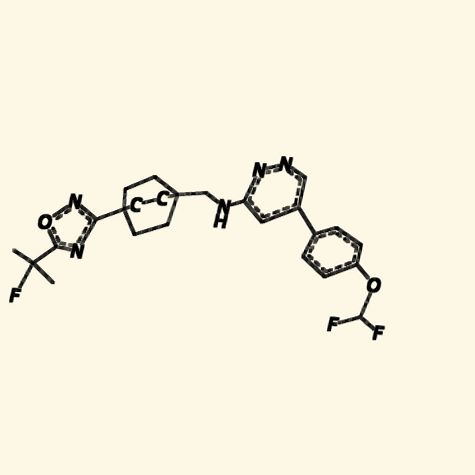 CC(C)(F)c1nc(C23CCC(CNc4cc(-c5ccc(OC(F)F)cc5)cnn4)(CC2)CC3)no1